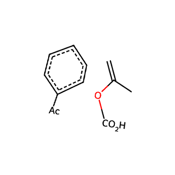 C=C(C)OC(=O)O.CC(=O)c1ccccc1